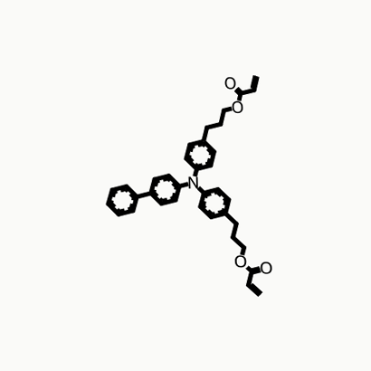 C=CC(=O)OCCCc1ccc(N(c2ccc(CCCOC(=O)C=C)cc2)c2ccc(-c3ccccc3)cc2)cc1